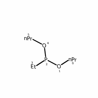 CCCOP(CC)OCCC